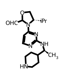 CC(C)[C@H]1COC(C=O)N1c1ccnc(N[C@@H](C)C2CCNCC2)n1